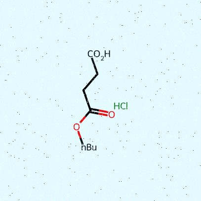 CCCCOC(=O)CCC(=O)O.Cl